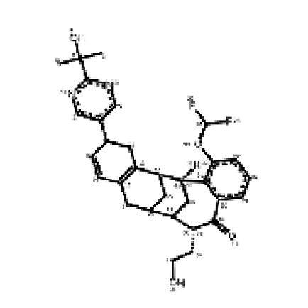 CC(C)(O)c1ncc(C2C=CC3=C(C2)C2CC(C3)C3C[C@H]2c2c(OC(F)F)cccc2C(=O)[C@@H]3CCO)cn1